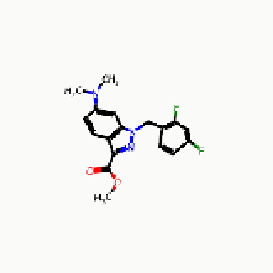 COC(=O)c1nn(Cc2ccc(F)cc2F)c2cc(N(C)C)ccc12